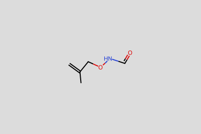 C=C(C)CONC=O